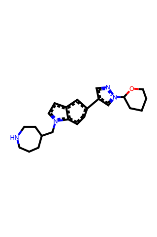 c1cc2c(ccn2CC2CCCNCC2)cc1-c1cnn(C2CCCCO2)c1